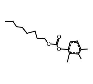 CCCCCCCCOC(=O)Oc1ccc(C)c(C)c1C